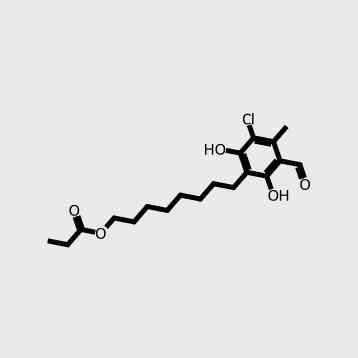 CCC(=O)OCCCCCCCCc1c(O)c(Cl)c(C)c(C=O)c1O